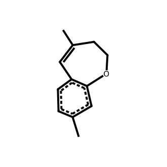 CC1=Cc2ccc(C)cc2OCC1